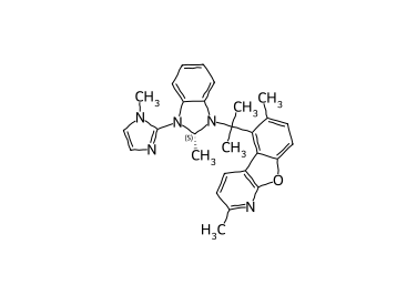 Cc1ccc2c(n1)oc1ccc(C)c(C(C)(C)N3c4ccccc4N(c4nccn4C)[C@H]3C)c12